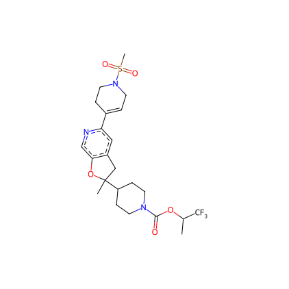 CC(OC(=O)N1CCC(C2(C)Cc3cc(C4=CCN(S(C)(=O)=O)CC4)ncc3O2)CC1)C(F)(F)F